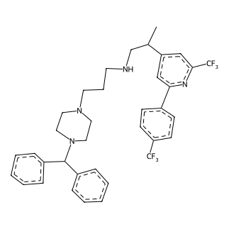 CC(CNCCCN1CCN(C(c2ccccc2)c2ccccc2)CC1)c1cc(-c2ccc(C(F)(F)F)cc2)nc(C(F)(F)F)c1